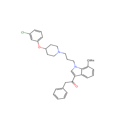 COc1cccc2c(C(=O)Cc3ccccc3)cn(CCCN3CCC(Oc4cccc(Cl)c4)CC3)c12